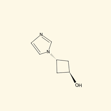 O[C@H]1C[C@H](n2ccnc2)C1